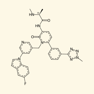 CN[C@@H](C)C(=O)Nc1ccc(-c2cccc(-c3nnn(C)n3)c2)n(Cc2cncc(-n3ccc4cc(F)ccc43)c2)c1=O